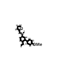 C=Cc1ccc(N(C)Cc2ccco2)cc1-c1ccc(OC)cc1